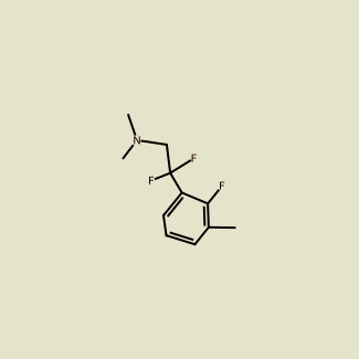 Cc1cccc(C(F)(F)CN(C)C)c1F